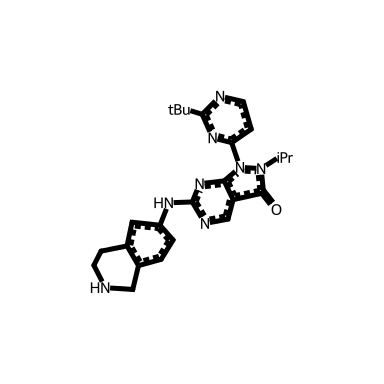 CC(C)n1c(=O)c2cnc(Nc3ccc4c(c3)CCNC4)nc2n1-c1ccnc(C(C)(C)C)n1